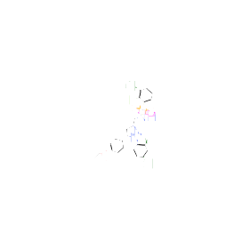 CCOC1=CCC([C@@H]2CC(CNS(=O)(=O)c3cccc(Cl)c3F)=NN2c2ccc(Cl)cc2Cl)C=C1